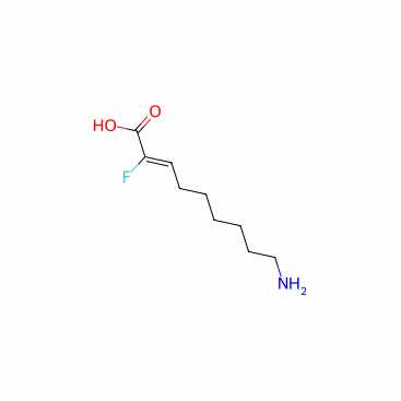 NCCCCCCC=C(F)C(=O)O